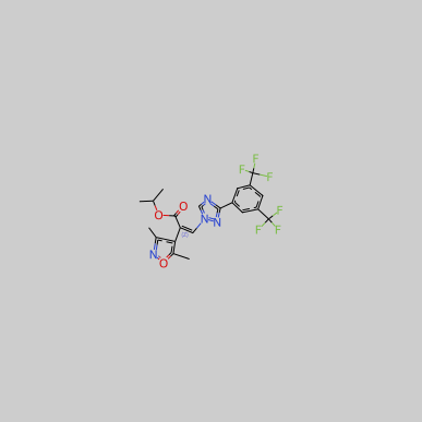 Cc1noc(C)c1/C(=C/n1cnc(-c2cc(C(F)(F)F)cc(C(F)(F)F)c2)n1)C(=O)OC(C)C